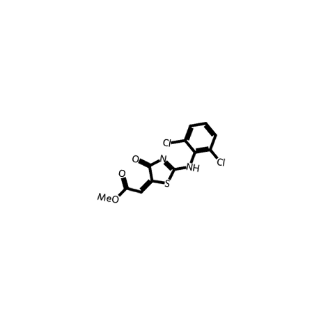 COC(=O)C=C1SC(Nc2c(Cl)cccc2Cl)=NC1=O